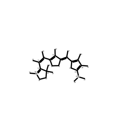 CC1=C(/C(C)=C2\CCC(C(/C)=C(/C)C3=[N+](C)CCC3(C)C)=C2C)CC(N(C)C)=C1C